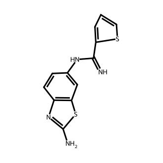 N=C(Nc1ccc2nc(N)sc2c1)c1cccs1